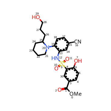 COC(=O)c1ccc(O)c(S(=O)(=O)Nc2cc(C#N)ccc2N2CCCCC2CCCO)c1